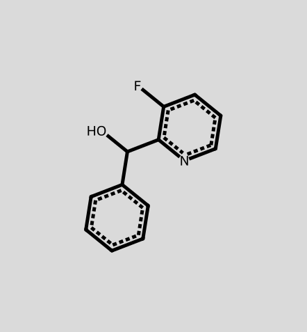 OC(c1ccccc1)c1ncccc1F